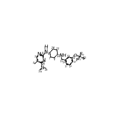 Cc1cnc(N[C@H]2CC[C@@H](NCc3cccc(OC(F)(F)F)c3)CC2)nc1N(C)C